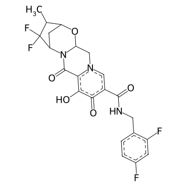 CC1C2CC(N3C(=O)c4c(O)c(=O)c(C(=O)NCc5ccc(F)cc5F)cn4CC3O2)C1(F)F